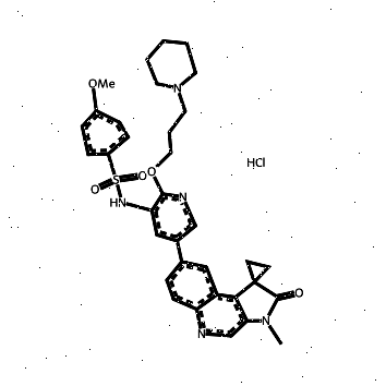 COc1ccc(S(=O)(=O)Nc2cc(-c3ccc4ncc5c(c4c3)C3(CC3)C(=O)N5C)cnc2OCCCN2CCCCC2)cc1.Cl